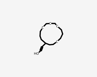 OC#CC1CCCCCCCCCCCCCC1